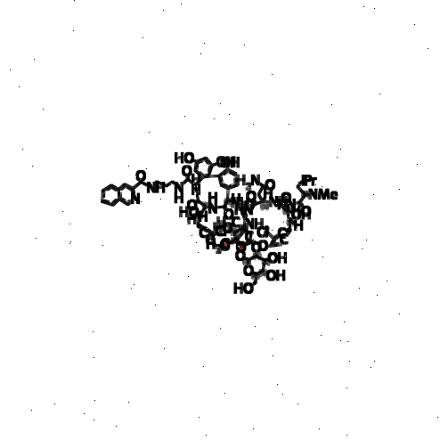 CN[C@H](CC(C)C)C(=O)N[C@H]1C(=O)N[C@@H](CC(N)=O)C(=O)NC2C(=O)N[C@H]3C(=O)N[C@H](C(=O)NC(C(=O)NCCCNC(=O)c4cc5ccccc5cn4)c4cc(O)cc(O)c4-c4cc3ccc4O)[C@H](O)c3ccc(c(Cl)c3)Oc3cc2cc(c3O[C@@H]2O[C@H](CO)[C@@H](O)[C@H](O)[C@H]2OC2C[C@](C)(N)[C@H](O)[C@H](C)O2)Oc2ccc(cc2Cl)[C@H]1O